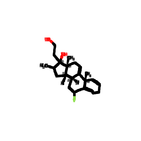 CC1C[C@H]2[C@@H]3CC(F)C4=CCC=C[C@]4(C)C3=CC[C@]2(C)[C@@]1(O)CCO